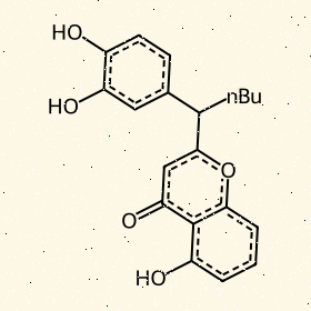 CCCCC(c1ccc(O)c(O)c1)c1cc(=O)c2c(O)cccc2o1